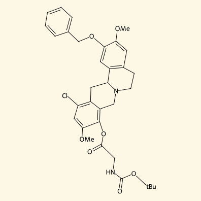 COc1cc2c(cc1OCc1ccccc1)C1Cc3c(Cl)cc(OC)c(OC(=O)CNC(=O)OC(C)(C)C)c3CN1CC2